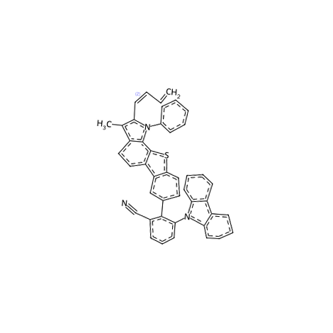 C=C/C=C\c1c(C)c2ccc3c4cc(-c5c(C#N)cccc5-n5c6ccccc6c6ccccc65)ccc4sc3c2n1-c1ccccc1